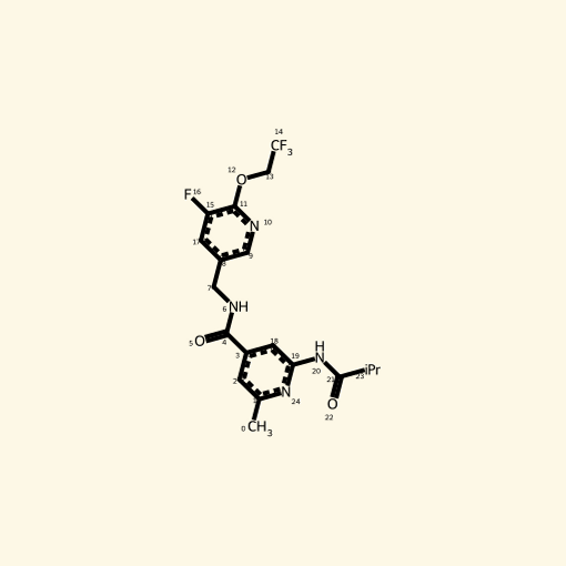 Cc1cc(C(=O)NCc2cnc(OCC(F)(F)F)c(F)c2)cc(NC(=O)C(C)C)n1